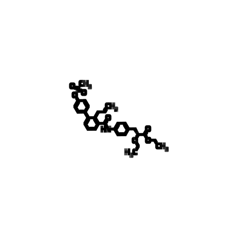 C=CCc1c(C(=O)Nc2ccc(C[C@H](OCC)C(=O)OCC)cc2)cccc1-c1ccc(OS(C)(=O)=O)cc1